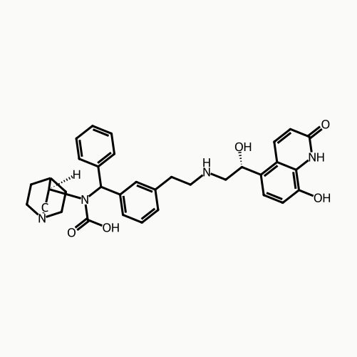 O=C(O)N(C(c1ccccc1)c1cccc(CCNC[C@H](O)c2ccc(O)c3[nH]c(=O)ccc23)c1)[C@H]1CN2CCC1CC2